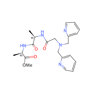 COC(=O)[C@@H](C)NC(=O)[C@@H](C)NC(=O)CN(Cc1ccccn1)Cc1ccccn1